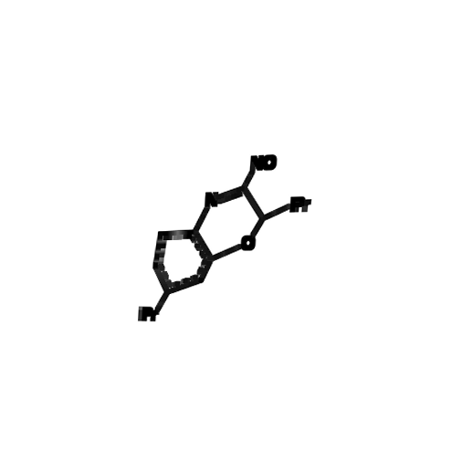 CC(C)c1ccc2c(c1)OC(C(C)C)C(N=O)=N2